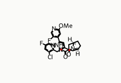 COc1cc(-c2cc(C(=O)N3[C@@H]4CC[C@H]3CC(C(=O)NCc3ncc(F)cc3Cl)C4)n[nH]2)c(F)cn1